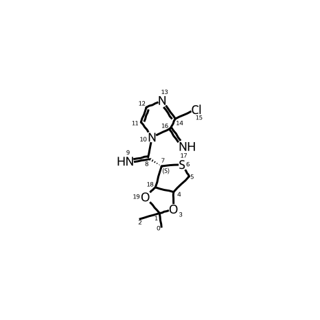 CC1(C)OC2CS[C@@H](C(=N)n3ccnc(Cl)c3=N)C2O1